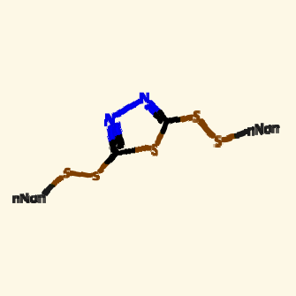 CCCCCCCCCSSc1nnc(SSCCCCCCCCC)s1